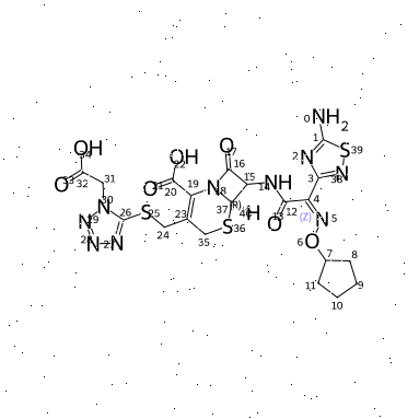 Nc1nc(/C(=N/OC2CCCC2)C(=O)NC2C(=O)N3C(C(=O)O)=C(CSc4nnnn4CC(=O)O)CS[C@H]23)ns1